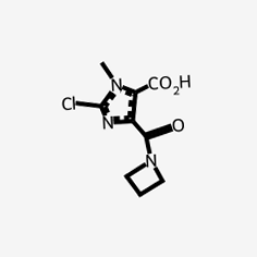 Cn1c(Cl)nc(C(=O)N2CCC2)c1C(=O)O